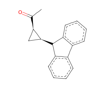 CC(=O)[C@@H]1C[C@@H]1C1c2ccccc2-c2ccccc21